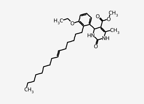 CCCCCCCCC=CCCCCCc1c(OCC)cccc1C1NC(=O)NC(C)=C1C(=O)OC